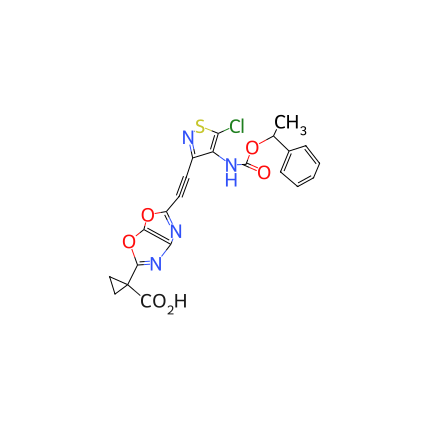 CC(OC(=O)Nc1c(C#Cc2nc3nc(C4(C(=O)O)CC4)oc3o2)nsc1Cl)c1ccccc1